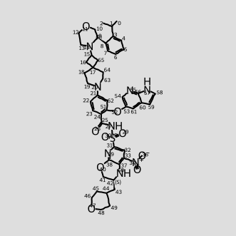 CC(C)c1ccccc1[C@@H]1COCCN1C1CC2(CCN(c3ccc(C(=O)NS(=O)(=O)c4cc([N+](=O)[O-])c5c(n4)OC[C@H](CC4CCOCC4)N5)c(Oc4cnc5[nH]ccc5c4)c3)CC2)C1